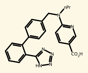 CCCN(Cc1ccc(-c2ccccc2-c2nnn[nH]2)cc1)c1ccc(C(=O)O)cn1